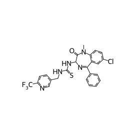 CN1C(=O)C(NC(=S)NCc2ccc(C(F)(F)F)nc2)N=C(c2ccccc2)c2cc(Cl)ccc21